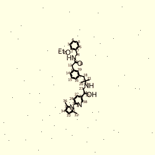 CCOc1ccccc1CNC(=O)Cc1cccc(CC(C)(C)NC[C@@H](O)c2ccc(-n3c(C)ccc3C)nc2)c1